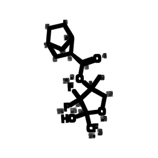 CC1(OC(=O)[C@H]2CC3CCC2C3)COC(O)(C(F)(F)F)C1(F)F